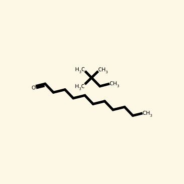 CCC(C)(C)C.CCCCCCCCCCC=O